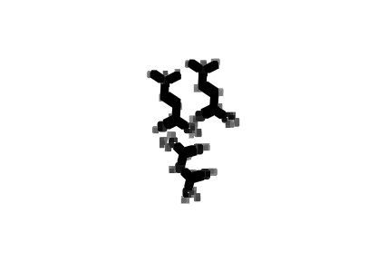 CN(C)C=CC(=O)C(F)(F)F.CN(C)C=CC(=O)C(F)(F)F.O=C(OC(=O)C(F)(F)F)C(F)(F)F